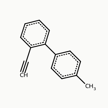 C#Cc1ccccc1-c1ccc(C)cc1